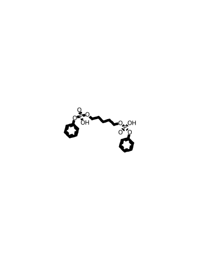 O=P(O)(OCCCCCOP(=O)(O)Oc1ccccc1)Oc1ccccc1